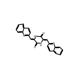 O=c1[nH]/c(=C\c2ccc3ccccc3n2)c(=O)[nH]/c1=C\c1ccc2ccccc2n1